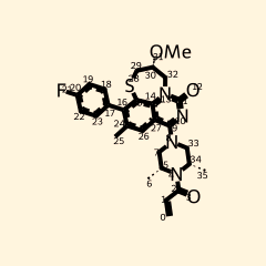 C=CC(=O)N1[C@H](C)CN(c2nc(=O)n3c4c(c(-c5ccc(F)cc5)c(C)cc24)SC[C@H](OC)C3)C[C@@H]1C